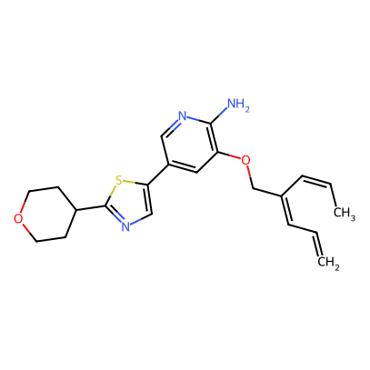 C=C/C=C(\C=C/C)COc1cc(-c2cnc(C3CCOCC3)s2)cnc1N